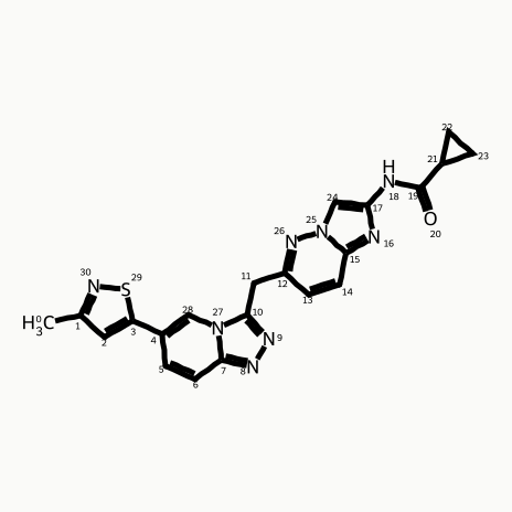 Cc1cc(-c2ccc3nnc(Cc4ccc5nc(NC(=O)C6CC6)cn5n4)n3c2)sn1